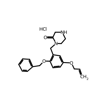 C=CCOc1ccc(OCc2ccccc2)c(CN2CCNCC2=O)c1.Cl